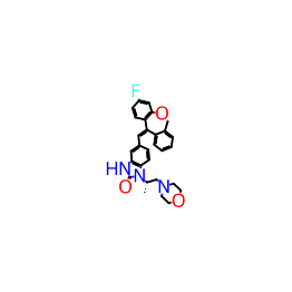 C[C@@H](CN1CCOCC1)n1c(=O)[nH]c2cc(/C=C3\c4ccccc4COc4cc(F)ccc43)ccc21